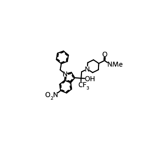 CNC(=O)C1CCN(CC(O)(c2cn(Cc3ccccc3)c3cc([N+](=O)[O-])ccc23)C(F)(F)F)CC1